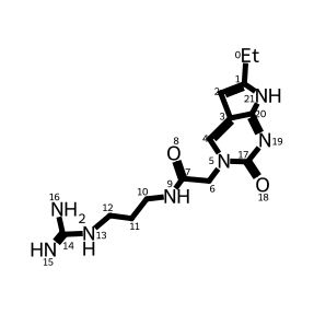 CCc1cc2cn(CC(=O)NCCCNC(=N)N)c(=O)nc2[nH]1